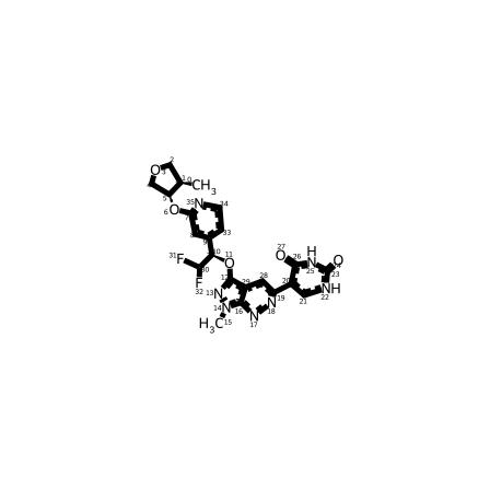 C[C@@H]1COC[C@H]1Oc1cc([C@@H](Oc2nn(C)c3nnc(-c4c[nH]c(=O)[nH]c4=O)cc23)C(F)F)ccn1